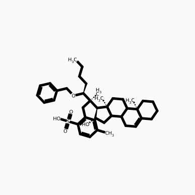 CCCC[C@H](OCc1ccccc1)[C@](C)(Cc1cc(C)ccc1S(=O)(=O)O)[C@@H]1[C@@H](O)CC2C3CC=C4CCCC[C@]4(C)C3CC[C@@]21C